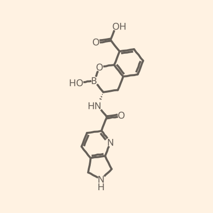 O=C(N[C@H]1Cc2cccc(C(=O)O)c2OB1O)c1ccc2c(n1)CNC2